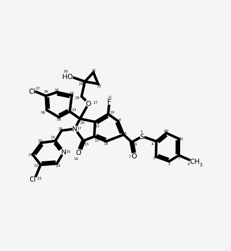 Cc1ccc(SC(=O)c2cc(F)c3c(c2)C(=O)N(Cc2ccc(Cl)cn2)C3(OCC2(O)CC2)c2ccc(Cl)cc2)cc1